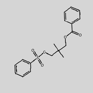 CC(C)(COC(=O)c1ccccc1)COS(=O)(=O)c1ccccc1